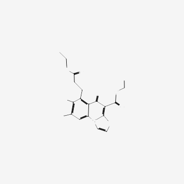 CCOC(=O)CCc1c(F)c(Cl)cc2c1c(=O)c(C(=O)OCC)c1sccn12